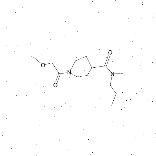 CCCN(C)C(=O)C1CCN(C(=O)COC)CC1